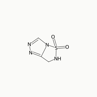 O=S1(=O)NCc2nncn21